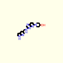 OC1CCN(c2ccc3ncc(NCc4cnc5[nH]ccc5c4)nc3n2)CC1